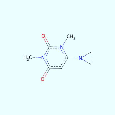 Cn1c(N2CC2)cc(=O)n(C)c1=O